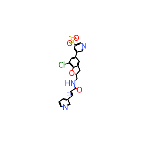 CS(=O)(=O)c1cncc(-c2cc(Cl)c3c(c2)CC(CNC(=O)/C=C/c2cccnc2)O3)c1